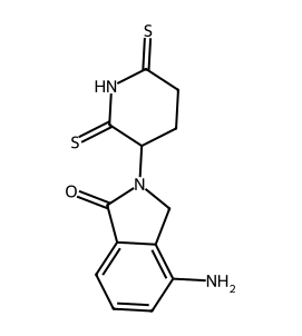 Nc1cccc2c1CN(C1CCC(=S)NC1=S)C2=O